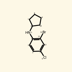 Clc1ccc(NC2CCCC2)c(Br)c1